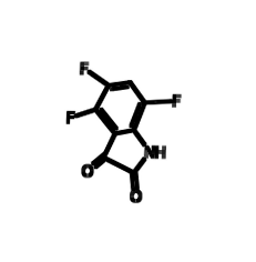 O=C1Nc2c(F)cc(F)c(F)c2C1=O